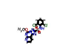 COc1nc2ncccc2c2nc(S(=O)(=O)Nc3c(Cl)cccc3Cl)nn12